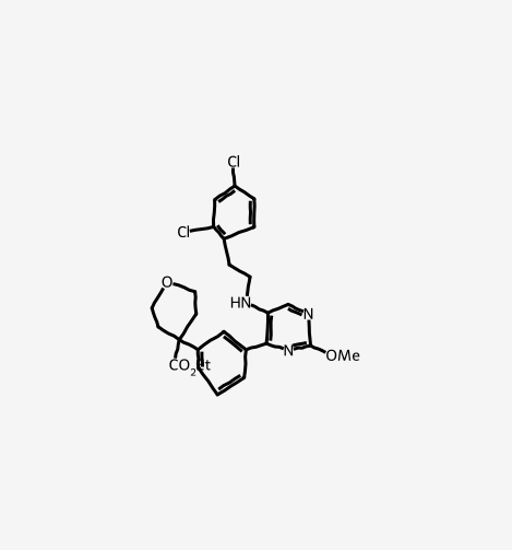 CCOC(=O)C1(c2cccc(-c3nc(OC)ncc3NCCc3ccc(Cl)cc3Cl)c2)CCOCC1